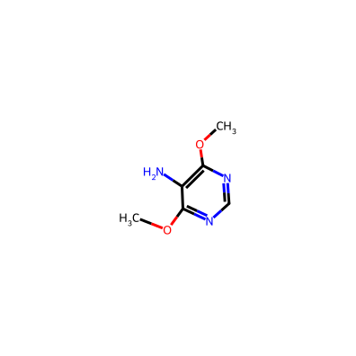 COc1ncnc(OC)c1N